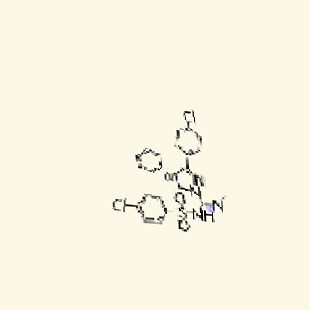 C/N=C(/NS(=O)(=O)c1ccc(Cl)cc1)N1C[C@H](c2ccccc2)C(c2ccc(Cl)cc2)=N1